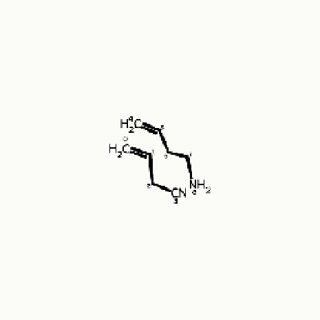 C=CCC#N.C=CCCN